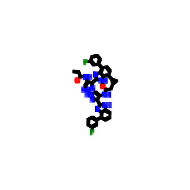 C=CC(=O)Nc1c[nH]nc1-c1nc2c(-c3cccc(F)c3)ccc(C3CC3CC(=O)Nc3c[nH]nc3-c3nc4c(-c5cccc(F)c5)cccc4[nH]3)c2[nH]1